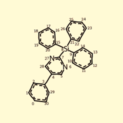 c1ccc(-c2cnc([Si](c3ccccc3)(c3ccccc3)c3ccccc3)nc2)cc1